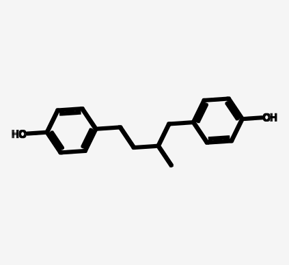 CC(CCc1ccc(O)cc1)Cc1ccc(O)cc1